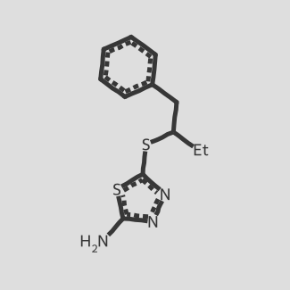 CCC(Cc1ccccc1)Sc1nnc(N)s1